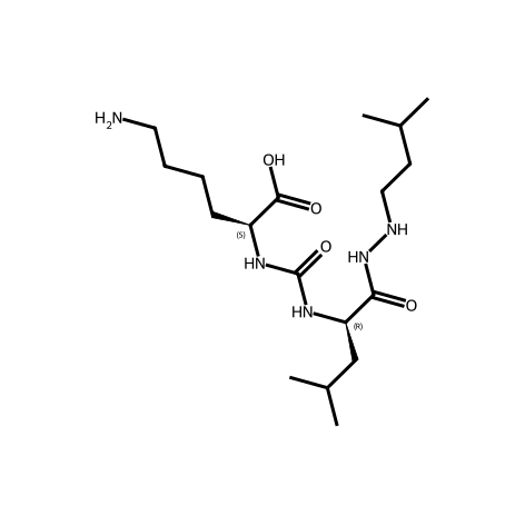 CC(C)CCNNC(=O)[C@@H](CC(C)C)NC(=O)N[C@@H](CCCCN)C(=O)O